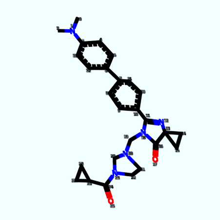 CN(C)c1ccc(-c2ccc(C3=NC4(CC4)C(=O)N3CN3CCN(C(=O)C4CC4)C3)cc2)cc1